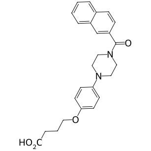 O=C(O)CCCOc1ccc(N2CCN(C(=O)c3ccc4ccccc4c3)CC2)cc1